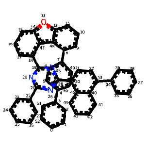 c1ccc(-c2ccc(-c3cccc4oc5cccc(-c6nc(-c7ccccc7)nc(-c7ccc(-c8ccccc8)c8ccccc78)n6)c5c34)cc2)cc1